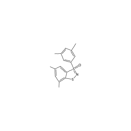 Cc1cc(C)cc(S2(=O)=NSc3c(C)cc(C)cc32)c1